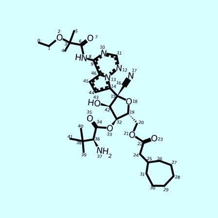 CCOC(C)(C)C(=O)Nc1ncnn2c([C@]3(C#N)O[C@H](COC(=O)CC4CCCCCC4)[C@@H](OC(=O)[C@@H](N)C(C)(C)C)[C@H]3O)ccc12